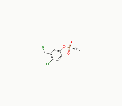 CS(=O)(=O)Oc1ccc(Cl)c(CBr)c1